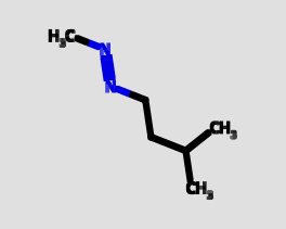 C/N=N/CCC(C)C